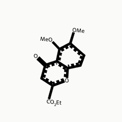 CCOC(=O)c1cc(=O)c2c(OC)c(OC)ccc2o1